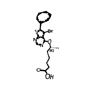 C[C@H](CCCCC(=O)O)Oc1ncnc2sc(-c3ccccc3)c(Br)c12